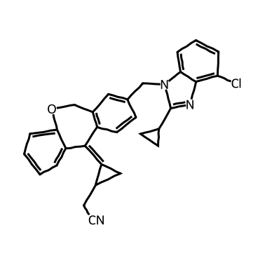 N#CCC1CC1=C1c2ccc(Cn3c(C4CC4)nc4c(Cl)cccc43)cc2COc2ccccc21